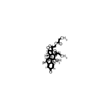 CCC(=O)OCC(=O)[C@]1(OC(=O)CC)[C@H](C)C[C@H]2[C@@H]3C[C@H](F)C4=CC(=O)C=C[C@]4(C)[C@@]3(F)[C@@H](O)C[C@@]21C